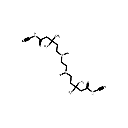 CC(C)(CC[S+]([O-])CC[S+]([O-])CCC(C)(C)CC(=O)NC#N)CC(=O)NC#N